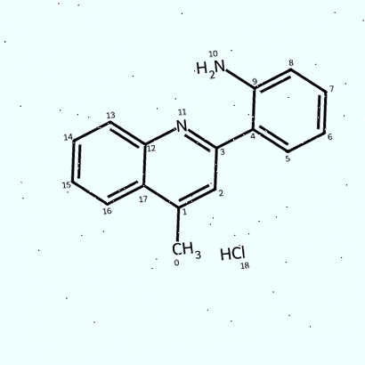 Cc1cc(-c2ccccc2N)nc2ccccc12.Cl